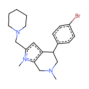 CN1Cc2c(cc(CN3CCCCC3)n2C)C(c2ccc(Br)cc2)C1